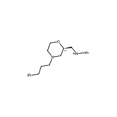 CCCNC[C@H]1CN(CCCC(C)C)CCO1